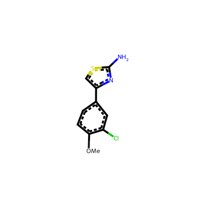 COc1ccc(-c2csc(N)n2)cc1Cl